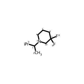 CC(C)C(C)N1CCCC(F)(F)C1